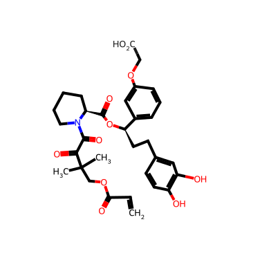 C=CC(=O)OCC(C)(C)C(=O)C(=O)N1CCCC[C@H]1C(=O)O[C@H](CCc1ccc(O)c(O)c1)c1cccc(OCC(=O)O)c1